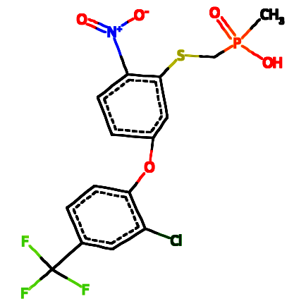 CP(=O)(O)CSc1cc(Oc2ccc(C(F)(F)F)cc2Cl)ccc1[N+](=O)[O-]